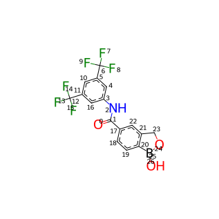 O=C(Nc1cc(C(F)(F)F)cc(C(F)(F)F)c1)c1ccc2c(c1)COB2O